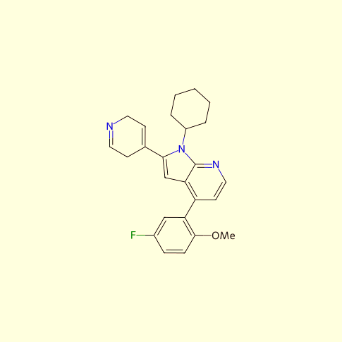 COc1ccc(F)cc1-c1ccnc2c1cc(C1=CCN=CC1)n2C1CCCCC1